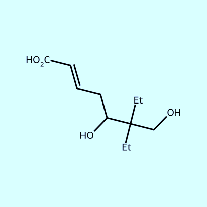 CCC(CC)(CO)C(O)CC=CC(=O)O